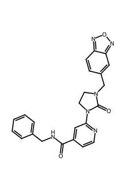 O=C(NCc1ccccc1)c1ccnc(N2CCN(Cc3ccc4nonc4c3)C2=O)c1